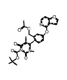 CC(=O)OCc1cc(Oc2nccc3occc23)ccc1-c1c(C)c(=O)n(C(=O)OC(C)(C)C)c(=O)n1C